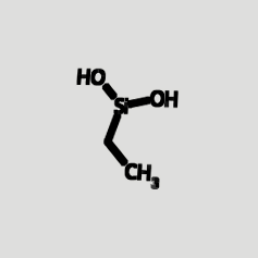 CC[Si](O)O